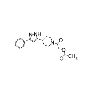 CC(=O)OCC(=O)N1CCC(c2cc(-c3ccccc3)n[nH]2)CC1